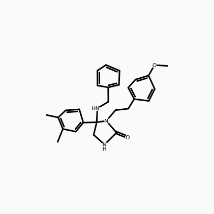 COc1ccc(CCN2C(=O)NCC2(NCc2ccccc2)c2ccc(C)c(C)c2)cc1